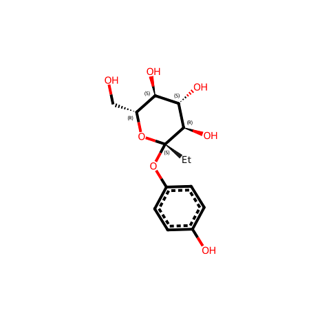 CC[C@@]1(Oc2ccc(O)cc2)O[C@H](CO)[C@@H](O)[C@H](O)[C@H]1O